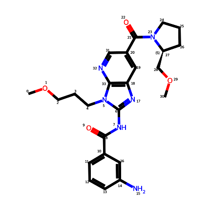 COCCCn1c(NC(=O)c2cccc(N)c2)nc2cc(C(=O)N3CCC[C@H]3COC)cnc21